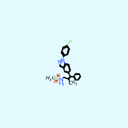 CC(CNS(C)(=O)=O)C(c1ccccc1)c1ccc2c(cnn2-c2ccc(F)cc2)c1